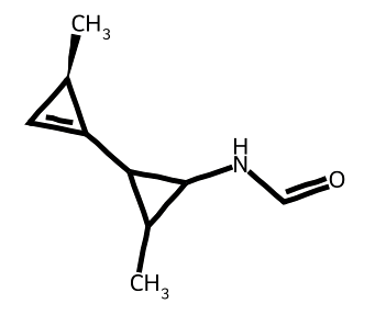 CC1C(NC=O)C1C1=C[C@H]1C